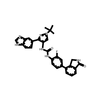 CC(C)(C)n1cc(NC(=O)Nc2ccc(-c3cccc4c3CNC4=O)cc2F)c(-c2ccc3[nH]cnc3c2)n1